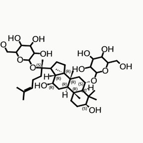 CC(C)=CCC[C@](C)(OC1OC(CO)C(O)C(O)C1O)C1CC[C@]2(C)[C@@H]1[C@H](O)C[C@@H]1[C@@]3(C)CC[C@H](O)C(C)(C)[C@@H]3[C@@H](OC3OC(CO)C(O)C(O)C3O)C[C@]12C